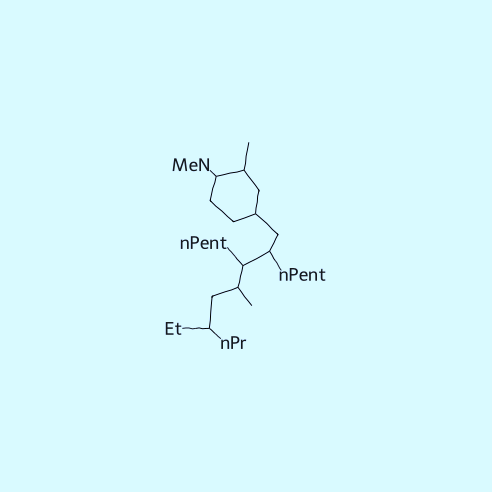 CCCCCC(CC1CCC(NC)C(C)C1)C(CCCCC)C(C)CC(CC)CCC